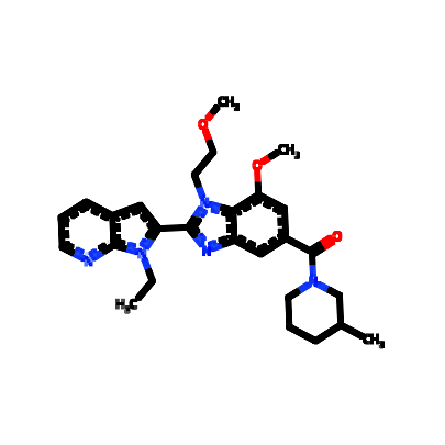 CCn1c(-c2nc3cc(C(=O)N4CCCC(C)C4)cc(OC)c3n2CCOC)cc2cccnc21